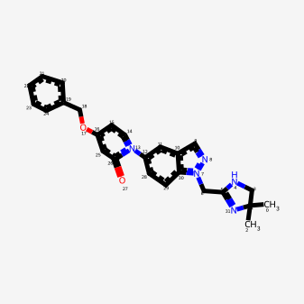 CC1(C)CNC(Cn2ncc3cc(-n4ccc(OCc5ccccc5)cc4=O)ccc32)=N1